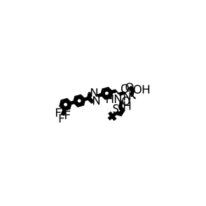 C[C@@H](NC(=O)[C@H](Cc1ccc(-c2ncc(-c3ccc(-c4cccc(C(F)(F)F)c4)cc3)cn2)cc1)NC(=O)c1ccc(C(C)(C)C)s1)C(=O)O